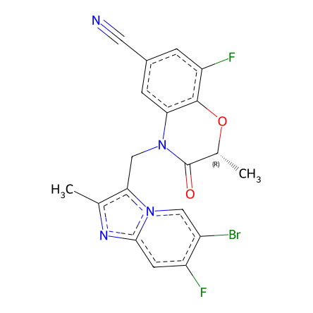 Cc1nc2cc(F)c(Br)cn2c1CN1C(=O)[C@@H](C)Oc2c(F)cc(C#N)cc21